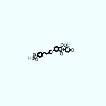 O=C1CCC(N2C(=O)c3ccc(N4CC(CCc5ccc(S(=O)(=O)O)cc5)C4)cc3C2=O)C(=O)N1